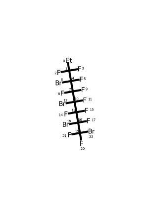 CCC(F)(F)C(F)(Br)C(F)(F)C(F)(Br)C(F)(F)C(F)(Br)C(F)(F)Br